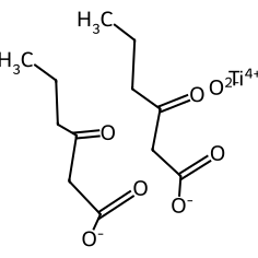 CCCC(=O)CC(=O)[O-].CCCC(=O)CC(=O)[O-].[O-2].[Ti+4]